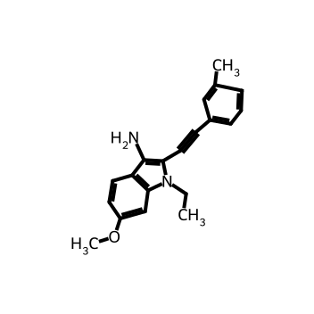 CCn1c(C#Cc2cccc(C)c2)c(N)c2ccc(OC)cc21